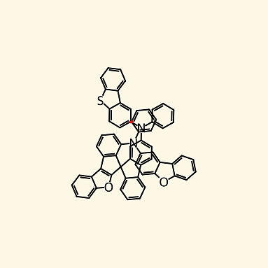 c1ccc(N(c2ccc3c(c2)C2(c4ccccc4-3)c3oc4ccccc4c3-c3cccc(N(c4ccccc4)c4ccc5oc6ccccc6c5c4)c32)c2ccc3sc4ccccc4c3c2)cc1